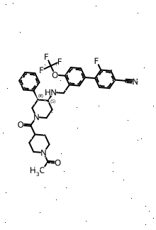 CC(=O)N1CCC(C(=O)N2CC[C@H](NCc3cc(-c4ccc(C#N)cc4F)ccc3OC(F)(F)F)[C@H](c3ccccc3)C2)CC1